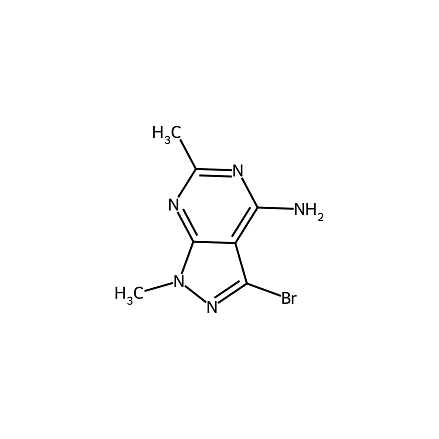 Cc1nc(N)c2c(Br)nn(C)c2n1